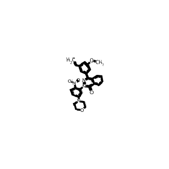 C=Cc1cc(OC)cc(-c2nn(-c3cc(N4CCOCC4)ccc3[N+](=O)[O-])c(=O)c3ccccc23)c1